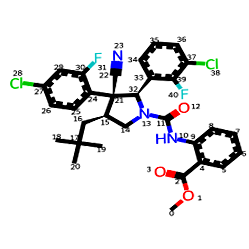 COC(=O)c1ccccc1NC(=O)N1C[C@@H](CC(C)(C)C)[C@](C#N)(c2ccc(Cl)cc2F)[C@H]1c1cccc(Cl)c1F